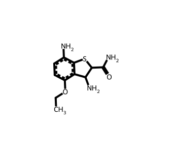 CCOc1ccc(N)c2c1C(N)C(C(N)=O)S2